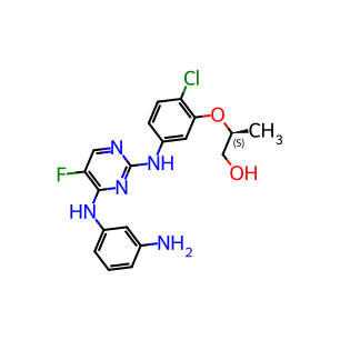 C[C@@H](CO)Oc1cc(Nc2ncc(F)c(Nc3cccc(N)c3)n2)ccc1Cl